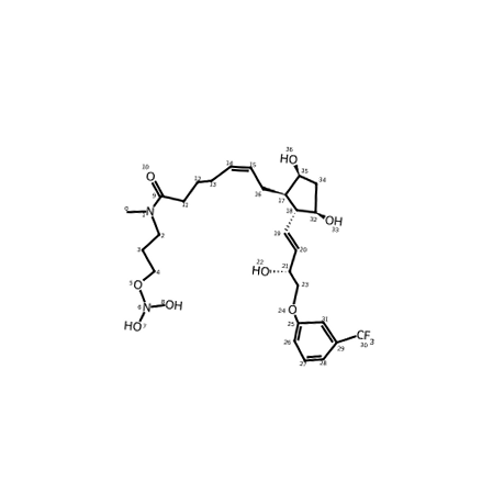 CN(CCCON(O)O)C(=O)CCC/C=C\C[C@@H]1[C@@H](/C=C/[C@@H](O)COc2cccc(C(F)(F)F)c2)[C@H](O)C[C@@H]1O